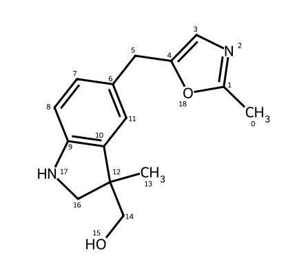 Cc1ncc(Cc2ccc3c(c2)C(C)(CO)CN3)o1